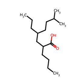 CCCCC(CC(CCC)CCC(C)C)C(=O)O